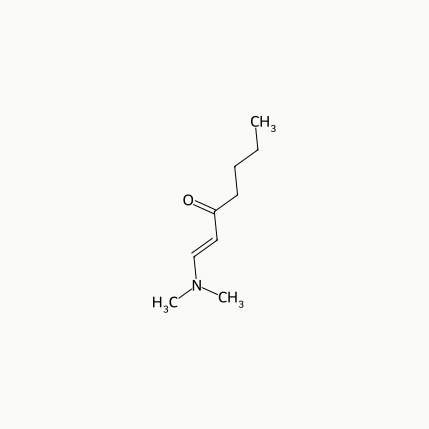 CCCCC(=O)C=CN(C)C